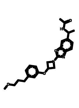 COCCCc1cccc(OC2CN(c3nc4ccc(C(C)NC(C)=O)cc4o3)C2)c1